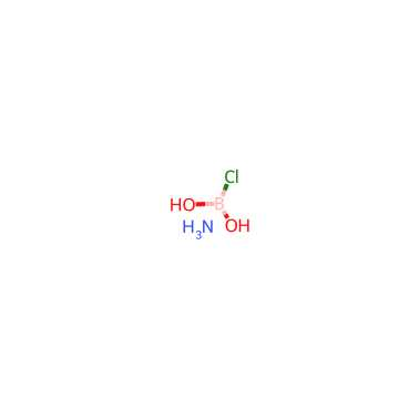 N.OB(O)Cl